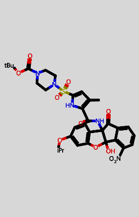 Cc1cc(S(=O)(=O)N2CCN(C(=O)OC(C)(C)C)CC2)[nH]c1C(=O)NC12C(=O)c3cccc([N+](=O)[O-])c3C1(O)Oc1cc(OC(C)C)ccc12